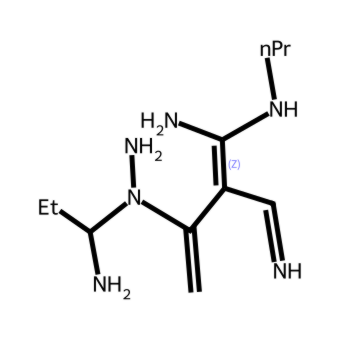 C=C(/C(C=N)=C(\N)NCCC)N(N)C(N)CC